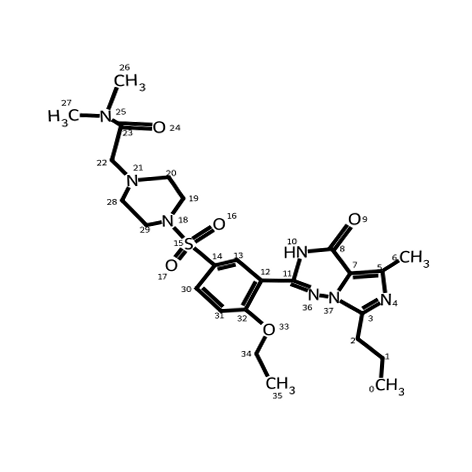 CCCc1nc(C)c2c(=O)[nH]c(-c3cc(S(=O)(=O)N4CCN(CC(=O)N(C)C)CC4)ccc3OCC)nn12